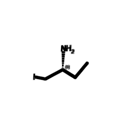 CC[C@@H](N)CI